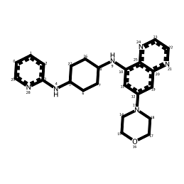 c1ccc(NC2CCC(Nc3cc(N4CCOCC4)cc4nccnc34)CC2)nc1